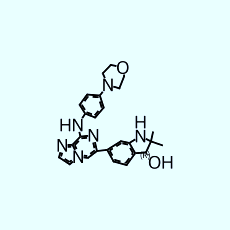 CC1(C)Nc2cc(-c3cn4ccnc4c(Nc4ccc(N5CCOCC5)cc4)n3)ccc2[C@H]1O